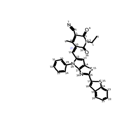 CCN1C(=O)C(C#N)=C(C)/C(=C/c2cc3sc(-c4cc5ccccc5s4)nc3n2-c2ccccc2)C1=O